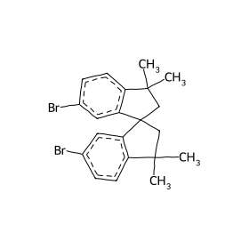 CC1(C)CC2(CC(C)(C)c3ccc(Br)cc32)c2cc(Br)ccc21